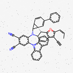 C#Cc1c(/C=C\C)oc2c1C=CC1C2[C@@]23C=C(c4ccccc4)C=CC2C3N1c1cc(C#N)c(C#N)cc1-n1c2ccccc2c2ccccc21